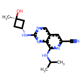 CC(C)Nc1nc(C#N)cc2cnc(N[C@H]3C[C@](C)(O)C3)nc12